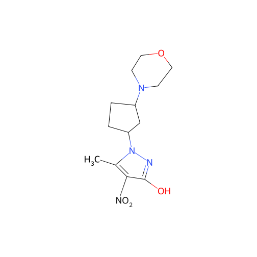 Cc1c([N+](=O)[O-])c(O)nn1C1CCC(N2CCOCC2)C1